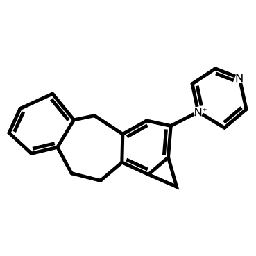 c1ccc2c(c1)CCc1c(cc(-[n+]3ccncc3)c3c1C3)C2